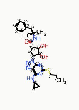 CCCSc1nc(NC2CC2)c2nnn([C@@H]3C[C@H](C(=O)NC(C)(C)Cc4ccccc4)[C@@H](O)[C@H]3O)c2n1